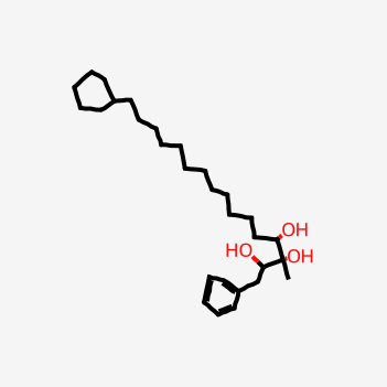 CC(O)(C(O)CCCCCCCCCCCCC1CCCCC1)C(O)Cc1ccccc1